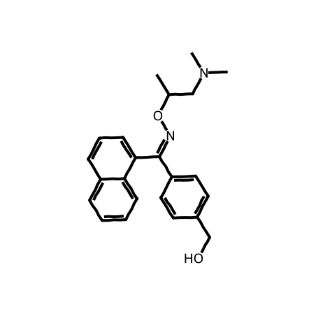 CC(CN(C)C)O/N=C(/c1ccc(CO)cc1)c1cccc2ccccc12